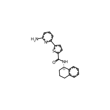 Nc1cccc(-c2ccc(C(=O)N[C@H]3CCCc4ccccc43)s2)n1